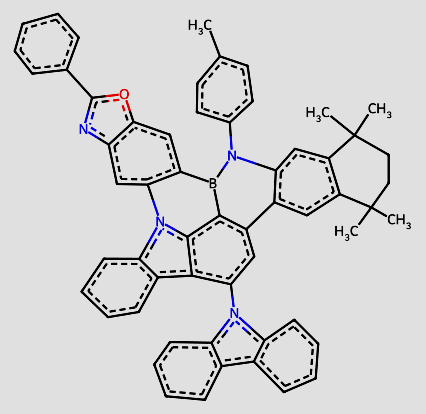 Cc1ccc(N2B3c4cc5oc(-c6ccccc6)nc5cc4-n4c5ccccc5c5c(-n6c7ccccc7c7ccccc76)cc(c3c54)-c3cc4c(cc32)C(C)(C)CCC4(C)C)cc1